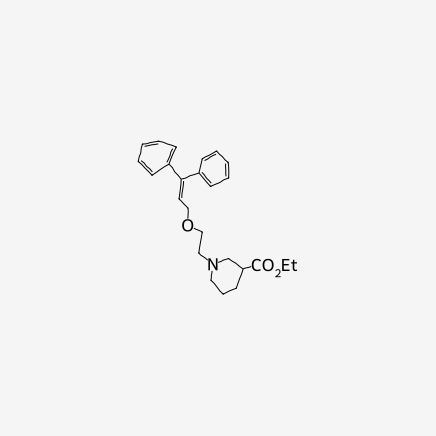 CCOC(=O)C1CCCN(CCOCC=C(c2ccccc2)c2ccccc2)C1